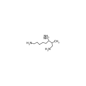 CC(CN)CCCCCCN.N.N